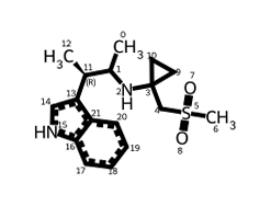 CC(NC1(CS(C)(=O)=O)CC1)[C@H](C)c1c[nH]c2ccccc12